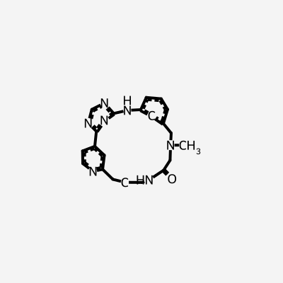 CN1CC(=O)NCCCc2cc(ccn2)-c2ncnc(n2)Nc2cccc(c2)C1